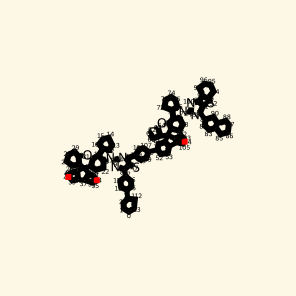 c1ccc(-c2ccc(-c3nc(-n4c5ccccc5c5c6c(ccc54)C4(c5ccccc5O6)c5ccccc5-c5ccccc54)nc4c3sc3cc(-c5ccc6c(c5)C5(c7ccccc7Oc7c5ccc5c7c7ccccc7n5-c5nc(-c7ccc8ccccc8c7)c7sc8ccccc8c7n5)c5ccccc5-6)ccc34)cc2)cc1